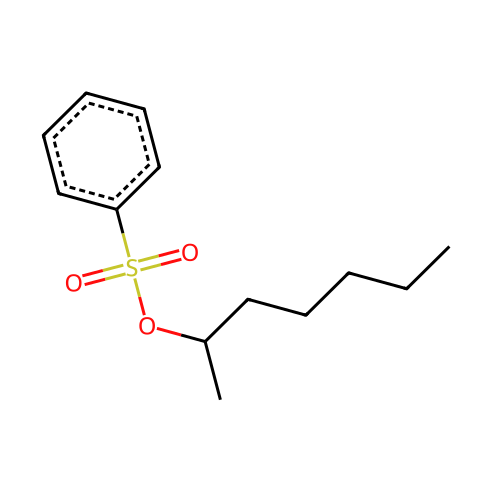 CCCCCC(C)OS(=O)(=O)c1ccccc1